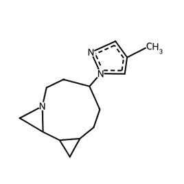 Cc1cnn(C2CCC3CC3C3CN3CC2)c1